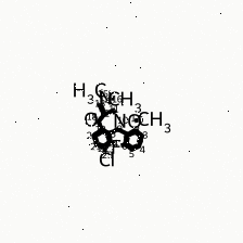 COc1cccc(F)c1C1=NC/C(=C\N(C)C)C(=O)c2ccc(Cl)cc21